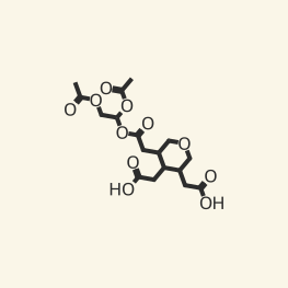 CC(=O)OCC(OC(C)=O)OC(=O)CC1COCC(CC(=O)O)C1CC(=O)O